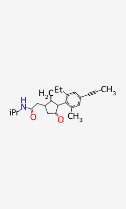 C=C1C(CC(=O)NC(C)C)CC(=O)C1c1c(C)cc(C#CC)cc1CC